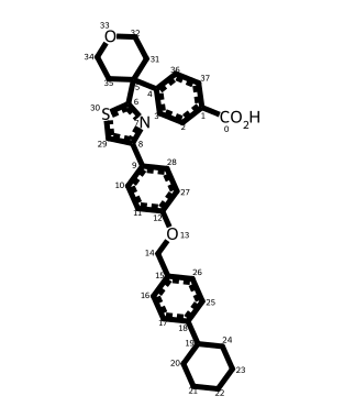 O=C(O)c1ccc(C2(c3nc(-c4ccc(OCc5ccc(C6CCCCC6)cc5)cc4)cs3)CCOCC2)cc1